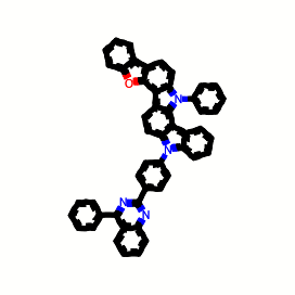 c1ccc(-c2nc(-c3ccc(-n4c5ccccc5c5c4ccc4c6c7oc8ccccc8c7ccc6n(-c6ccccc6)c45)cc3)nc3ccccc23)cc1